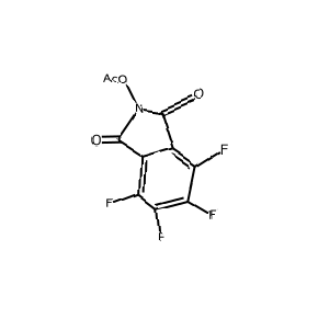 CC(=O)ON1C(=O)c2c(F)c(F)c(F)c(F)c2C1=O